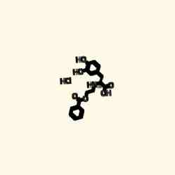 Cl.O=C(OCCN[C@@H](Cc1ccc(O)c(O)c1)C(=O)O)c1ccccc1